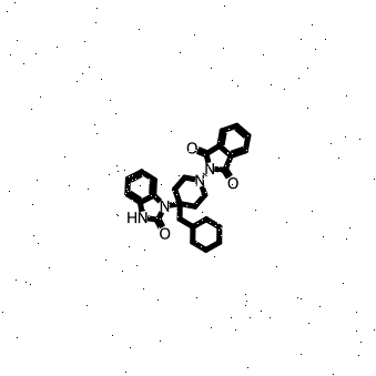 O=C1c2ccccc2C(=O)N1N1CCC(CC2CCCCC2)(n2c(=O)[nH]c3ccccc32)CC1